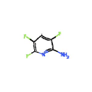 Nc1nc(F)c(F)[c]c1F